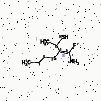 CCCS/C(=C(\N)F)C(C)S